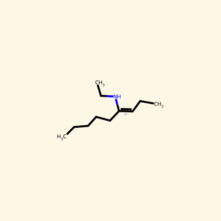 CC/C=C(/CCCCC)NCC